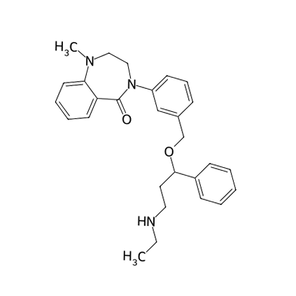 CCNCCC(OCc1cccc(N2CCN(C)c3ccccc3C2=O)c1)c1ccccc1